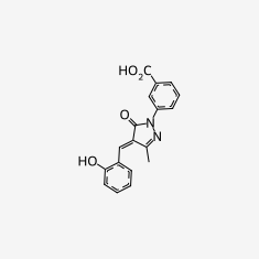 CC1=NN(c2cccc(C(=O)O)c2)C(=O)/C1=C/c1ccccc1O